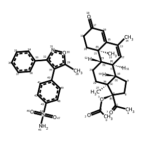 CC(=O)O[C@]1(C(C)=O)CC[C@H]2[C@@H]3C=C(C)C4=CC(=O)CC[C@]4(C)[C@H]3CC[C@@]21C.Cc1onc(-c2ccccc2)c1-c1ccc(S(N)(=O)=O)cc1